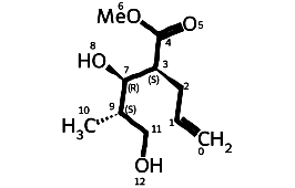 C=CC[C@H](C(=O)OC)[C@H](O)[C@@H](C)CO